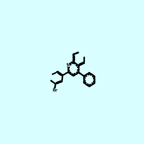 C/C=c1/c(-c2ccccc2)cc(C(/C=C(\C)Br)=C/C)n/c1=C/C